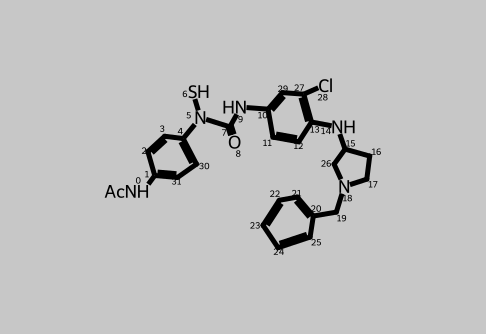 CC(=O)Nc1ccc(N(S)C(=O)Nc2ccc(NC3CCN(Cc4ccccc4)C3)c(Cl)c2)cc1